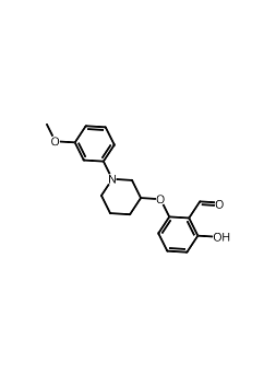 COc1cccc(N2CCCC(Oc3cccc(O)c3C=O)C2)c1